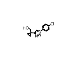 OCC1(c2cn(-c3ccc(Cl)cc3)nn2)CC1